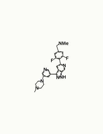 CNCc1cc(F)c(-c2cc3c(-c4cncc(N5CCN(C)CC5)c4)n[nH]c3cn2)c(F)c1